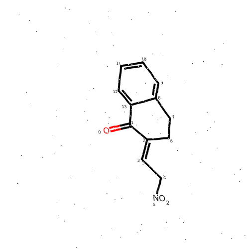 O=C1C(=CC[N+](=O)[O-])CCc2ccccc21